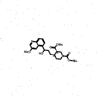 COC(=O)[C@H]1CN(C(=O)OC(C)(C)C)CC[C@H]1CCC(O)c1cccc2ncc(OC)cc12